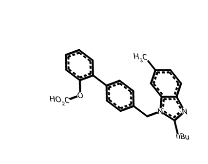 CCCCc1nc2ccc(C)cc2n1Cc1ccc(-c2ccccc2OC(=O)O)cc1